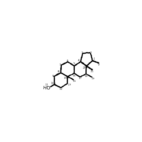 CC1CCC2C3CCC4CC(O)CCC4(C)C3CC(C)C12C